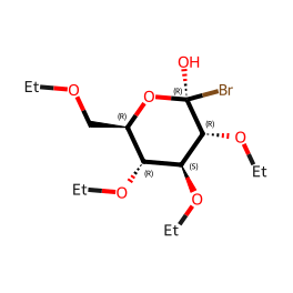 CCOC[C@H]1O[C@@](O)(Br)[C@H](OCC)[C@@H](OCC)[C@@H]1OCC